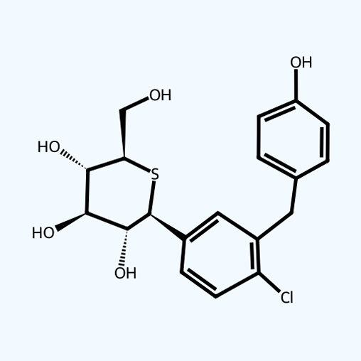 OC[C@H]1S[C@@H](c2ccc(Cl)c(Cc3ccc(O)cc3)c2)[C@H](O)[C@@H](O)[C@@H]1O